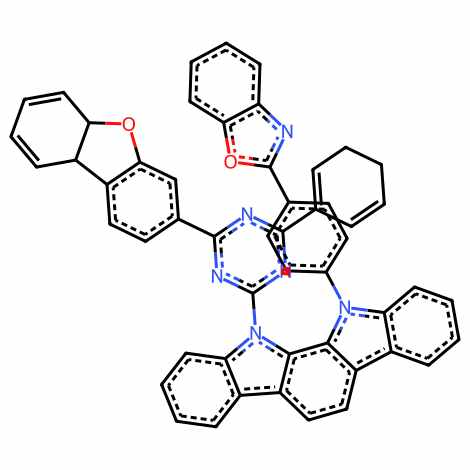 C1=CC2Oc3cc(-c4nc(C5=CCCC=C5)nc(-n5c6ccccc6c6ccc7c8ccccc8n(-c8ccc(-c9nc%10ccccc%10o9)cc8)c7c65)n4)ccc3C2C=C1